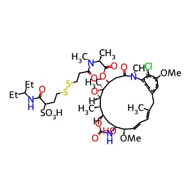 CCC(CC)NC(=O)C(CCSSCCC(=O)N(C)[C@@H](C)C(=O)O[C@H]1CC(=O)N(C)c2cc(cc(OC)c2Cl)C/C(C)=C/C=C/[C@@H](OC)[C@@]2(O)C[C@H](OC(=O)N2)[C@@H](C)[C@@H]2O[C@@]12C)S(=O)(=O)O